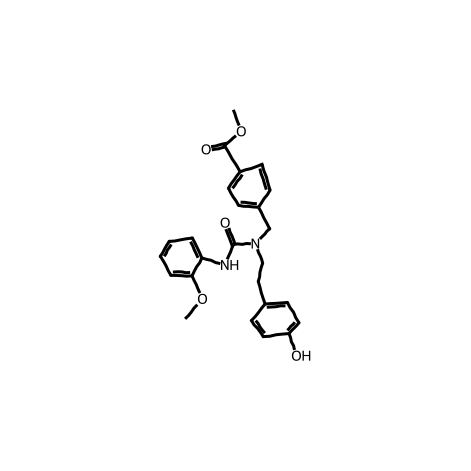 COC(=O)c1ccc(CN(CCc2ccc(O)cc2)C(=O)Nc2ccccc2OC)cc1